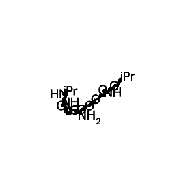 CC(C)C#CCOCCNC(=O)CCCOCCOCCOC(N)COc1cccc(C(=O)NCCNC(C)C)c1